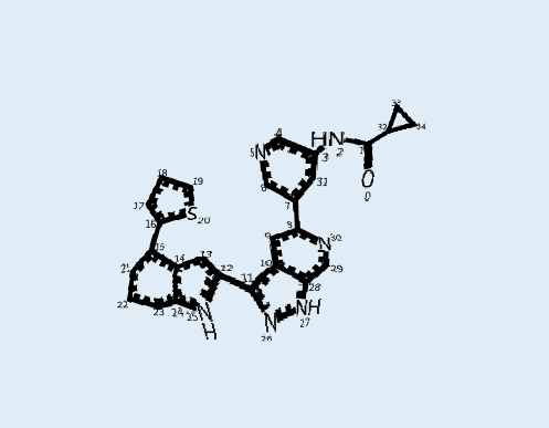 O=C(Nc1cncc(-c2cc3c(-c4cc5c(-c6cccs6)cccc5[nH]4)n[nH]c3cn2)c1)C1CC1